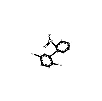 O=[N+]([O-])c1cnccc1-c1cc(F)ccc1F